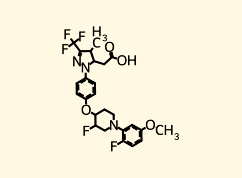 COc1ccc(F)c(N2CCC(Oc3ccc(N4N=C(C(F)(F)F)C(C)C4CC(=O)O)cc3)C(F)C2)c1